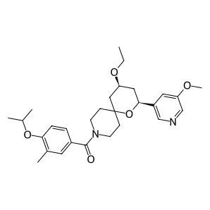 CCO[C@H]1C[C@@H](c2cncc(OC)c2)OC2(CCN(C(=O)c3ccc(OC(C)C)c(C)c3)CC2)C1